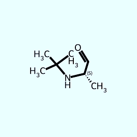 C[C@@H](C=O)NC(C)(C)C